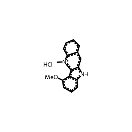 COc1cccc2[nH]c3cc4ccccc4[n+](C)c3c12.Cl